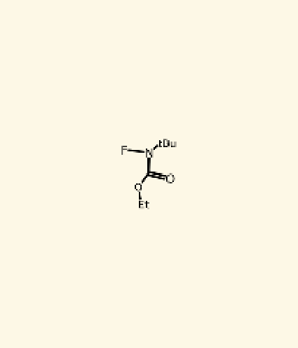 CCOC(=O)N(F)C(C)(C)C